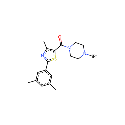 Cc1cc(C)cc(-c2nc(C)c(C(=O)N3CCN(C(C)C)CC3)s2)c1